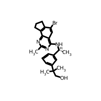 Cc1nc(N[C@H](C)c2cccc(C(C)(C)CO)c2)c2cc(Br)c3c(c2n1)CCC3